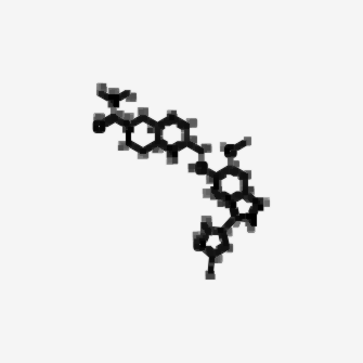 COc1cc2nnc(-c3cc(C)on3)n2nc1OCc1ccc2c(n1)CCN(C(=O)N(C)C)C2